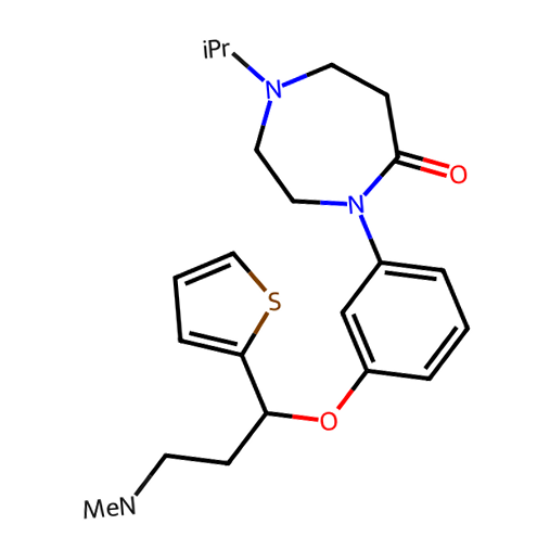 CNCCC(Oc1cccc(N2CCN(C(C)C)CCC2=O)c1)c1cccs1